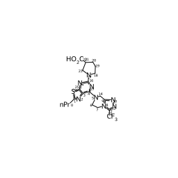 CCCc1nc2c(N3CCn4c(nnc4C(F)(F)F)C3)nc(N3CCCC(C(=O)O)C3)nc2s1